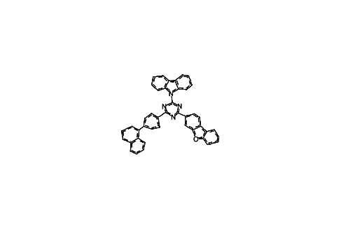 c1ccc2c(-c3ccc(-c4nc(-c5ccc6c(c5)oc5ccccc56)nc(-n5c6ccccc6c6ccccc65)n4)cc3)cccc2c1